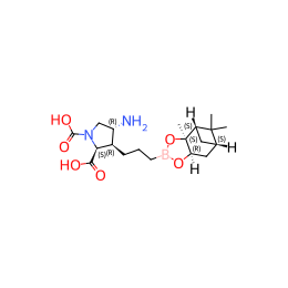 CC1(C)[C@@H]2C[C@H]3OB(CCC[C@H]4[C@@H](C(=O)O)N(C(=O)O)C[C@@H]4N)O[C@@]3(C)[C@H]1C2